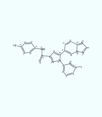 Cc1cccc(-n2nc(C(=O)Nc3ccc(F)cc3)cc2-c2ccc3ncnn3c2)n1